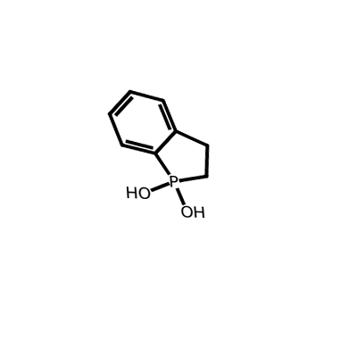 O[P]1(O)CCc2ccccc21